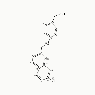 OCc1ccc(OCc2ccc3ccc(Cl)cc3n2)cc1